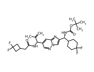 C=C(C)C(NC(=O)CC1CC(F)(F)C1)c1cnn2cc([C@@H](NC(=O)OC(C)(C)C)C3CCC(F)(F)CC3)nc2c1